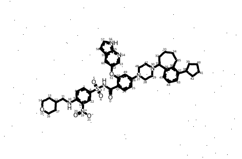 O=C(NS(=O)(=O)c1ccc(NCC2CCOCC2)c([N+](=O)[O-])c1)c1ccc(N2CCN(C3CCCCc4c(C5CCCC5)cccc43)CC2)cc1Oc1cnc2[nH]ccc2c1